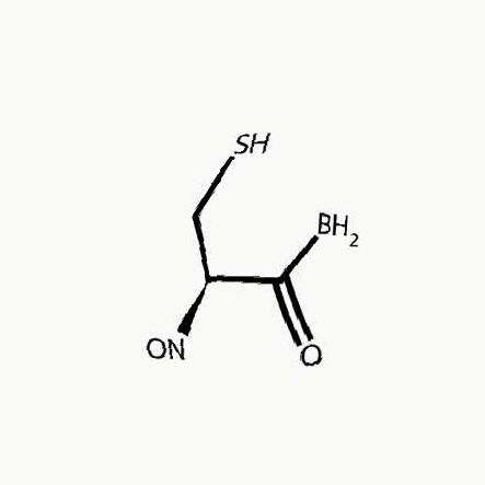 BC(=O)[C@H](CS)N=O